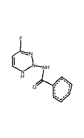 O=C(NN1N=C(F)C=[C]N1)c1ccccc1